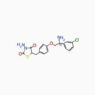 N[C@H](COc1ccc(CC2SC(=O)N(N)C2=O)cc1)c1cccc(Cl)c1